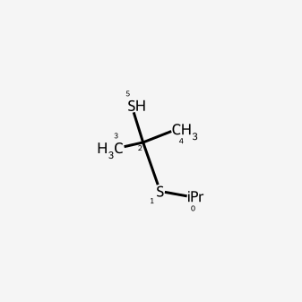 CC(C)SC(C)(C)S